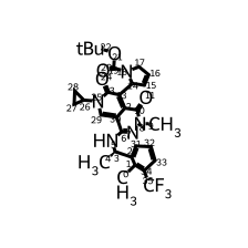 Cc1c([C@@H](C)Nc2nn(C)c(=O)c3c(C4C=CCN4C(=O)OC(C)(C)C)c(=O)n(C4CC4)cc23)cccc1C(F)(F)F